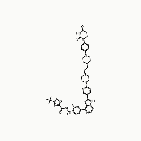 Cc1cc(-c2ncnc3[nH]c(-c4ccc(N5CCN(CCC6CCN(c7ccc([C@@H]8CCC(=O)NC8=O)cc7)CC6)CC5)nc4)cc23)ccc1[C@@H](C)NC(=O)c1nc(C(C)(C)C)no1